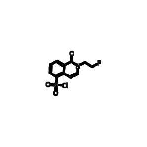 O=c1c2cccc(S(=O)(=O)Cl)c2ccn1CCF